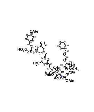 C=C1C[C@H](C[C@@H]2CC(=C)C[C@H](C=CC(C)(C)[C@@]3(OC)O[C@H](C[C@@H](O[Si](C)(C)C(C)(C)C)[C@@H](C)OCOCc4ccccc4)C/C(=C\C(=O)OC)[C@@H]3OC(C)=O)O2)O[C@H](C[C@H](CC(=O)O)OCc2ccc(OC)cc2)C1